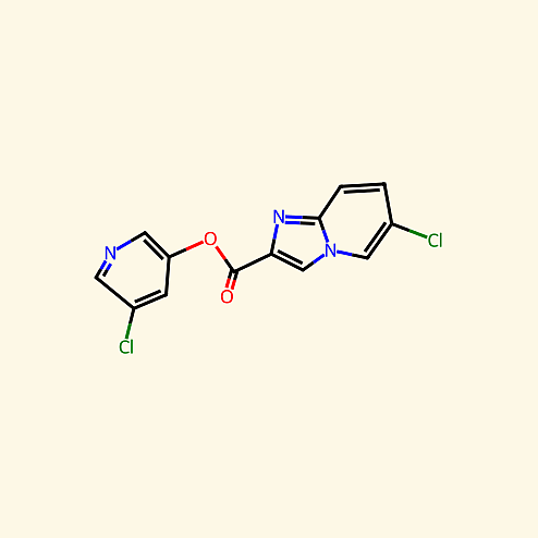 O=C(Oc1cncc(Cl)c1)c1cn2cc(Cl)ccc2n1